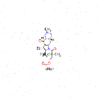 CCCCCCCCCC(=O)OCCC(C)(C)C(=O)n1c(C)c(CC)c2c1C[C@H]1CCN(C)C[C@@H]1C2=O